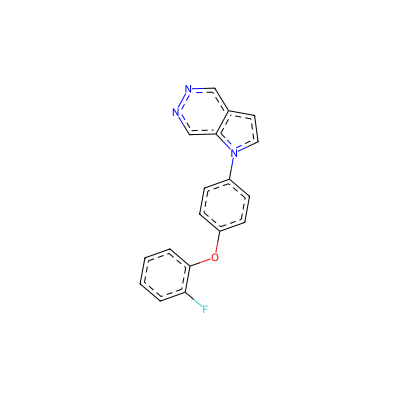 Fc1ccccc1Oc1ccc(-n2ccc3cnncc32)cc1